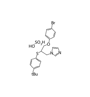 CC(C)(C)c1ccc(SC(COc2ccc(Br)cc2)Cn2ccnc2)cc1.O=S(=O)(O)O